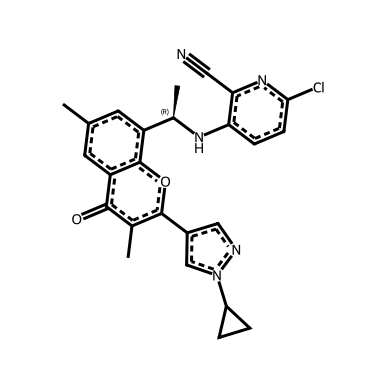 Cc1cc([C@@H](C)Nc2ccc(Cl)nc2C#N)c2oc(-c3cnn(C4CC4)c3)c(C)c(=O)c2c1